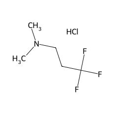 CN(C)CCC(F)(F)F.Cl